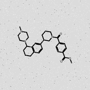 COC(=O)c1ccc(C(=O)N2CCCC(c3ccc4c(c3)C(N3CCN(C)CC3)CCC4)C2)cc1